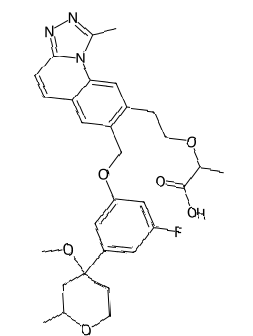 COC1(c2cc(F)cc(OCc3cc4ccc5nnc(C)n5c4cc3CCOC(C)C(=O)O)c2)CCOC(C)C1